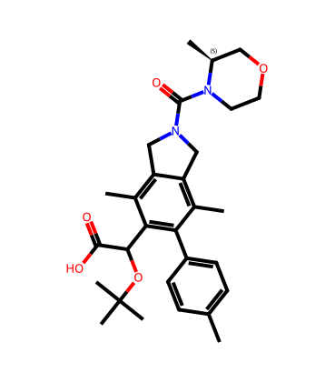 Cc1ccc(-c2c(C)c3c(c(C)c2C(OC(C)(C)C)C(=O)O)CN(C(=O)N2CCOC[C@@H]2C)C3)cc1